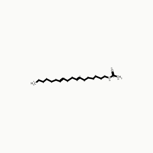 CCCCCCC=CCCC=CCCCCCCOC(C)=O